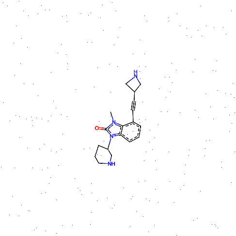 Cn1c(=O)n(C2CCCNC2)c2cccc(C#CC3CNC3)c21